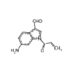 C=CC(=O)n1cc(C=O)c2ccc(N)cc21